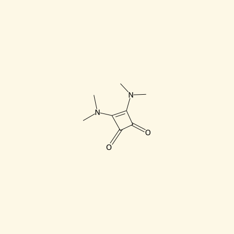 CN(C)c1c(N(C)C)c(=O)c1=O